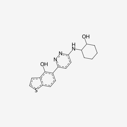 Oc1c(-c2ccc(NC3CCCCC3O)nn2)ccc2sccc12